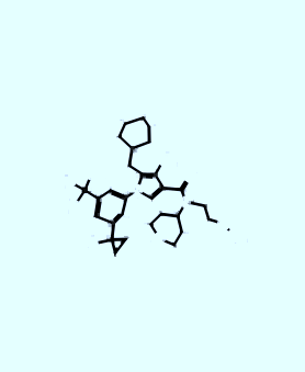 COCCN(C(=O)c1cn(-c2cc(C(C)(C)C)cc(C3(C)CC3)c2)c(CC2CCCCC2)c1C)C1CCOCC1